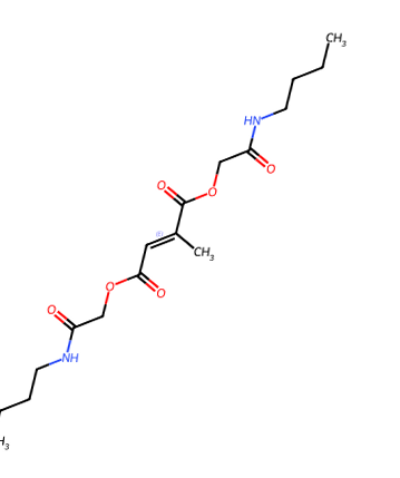 CCCCNC(=O)COC(=O)/C=C(\C)C(=O)OCC(=O)NCCCC